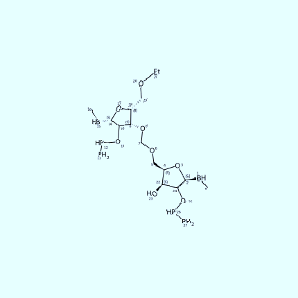 CB[C@@H]1O[C@H](COCO[C@@H]2C(OPP)[C@H](BC)O[C@@H]2COCC)[C@H](O)C1OPP